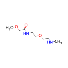 CNCCOCCNC(=O)COC